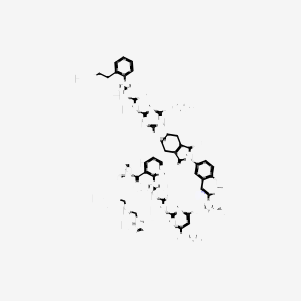 CCOC(=O)/C(Cl)=C/c1cc(N2C(=O)C3=C(CCCC3)C2=O)ccc1Cl.COc1cc(OC)nc(NC(=O)NS(=O)(=O)c2ncccc2C(=O)N(C)C)n1.COc1nc(C)nc(NC(=O)NS(=O)(=O)c2ccccc2CCC(F)(F)F)n1.O=C(O)CNCP(=O)(O)O